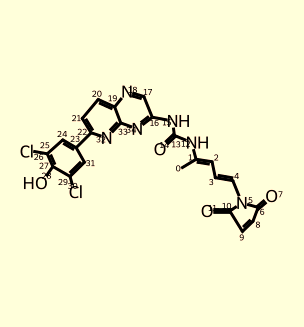 C/C(=C\C=C\N1C(=O)C=CC1=O)NC(=O)Nc1cnc2ccc(-c3cc(Cl)c(O)c(Cl)c3)nc2n1